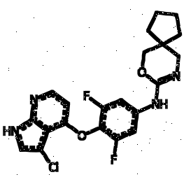 Fc1cc(NC2=NCC3(CCCC3)CO2)cc(F)c1Oc1ccnc2[nH]cc(Cl)c12